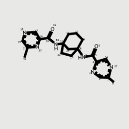 Cc1cnc(C(=O)NC23CCCC(NC(=O)c4cncc(C)n4)(CC2)C3)cn1